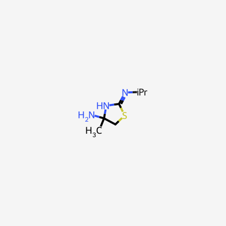 CC(C)/N=C1/NC(C)(N)CS1